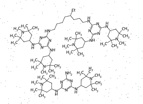 CCC(CCCCNc1nc(NC2CC(C)(C)N(C)C(C)(C)C2)nc(NC2CC(C)(C)N(C)C(C)(C)C2)n1)CCCNc1nc(NC2CC(C)(C)N(C)C(C)(C)C2)nc(NC2CC(C)(C)N(C)C(C)(C)C2)n1.CN1C(C)(C)CC(Nc2nc(N)nc(NC3CC(C)(C)N(C)C(C)(C)C3)n2)CC1(C)C